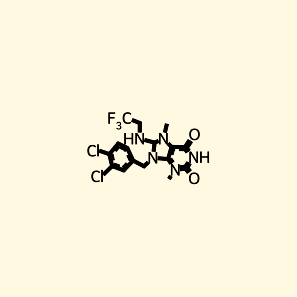 CN1c2c(n(C)c(=O)[nH]c2=O)N(Cc2ccc(Cl)c(Cl)c2)C1NCC(F)(F)F